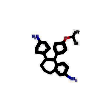 CCCC(CC)Oc1ccc(C2=C(c3ccc(N)cc3)CCCc3cc(N)ccc32)cc1